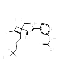 CCC(=O)Nc1cc(C(=O)NC(C)C2(C=N)CC(Cl)=C2CCCC(C)(F)I)ccn1